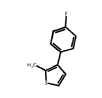 Cc1sccc1-c1ccc(F)cc1